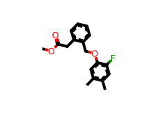 COC(=O)Cc1ccccc1COc1cc(C)c(C)cc1F